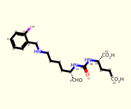 O=C[C@H](CCCCNCc1ccccc1I)NC(=O)N[C@@H](CCC(=O)O)C(=O)O